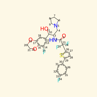 O=C(NC(CN1CCCC1)C(O)c1cc(F)c2c(c1)OCCO2)C(F)(F)c1ccc(-c2ccc(F)cc2)s1